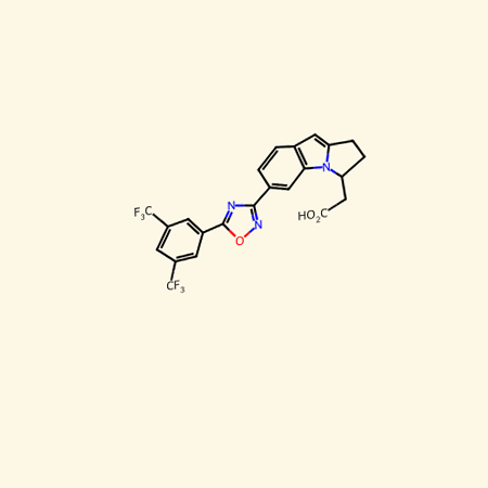 O=C(O)CC1CCc2cc3ccc(-c4noc(-c5cc(C(F)(F)F)cc(C(F)(F)F)c5)n4)cc3n21